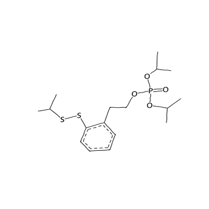 CC(C)OP(=O)(OCCc1ccccc1SSC(C)C)OC(C)C